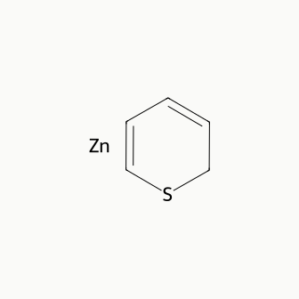 C1=CCSC=C1.[Zn]